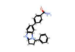 NC(=O)c1ccc(-c2ccc3nc4n(c3c2)C(c2ccccc2)CC4)cc1